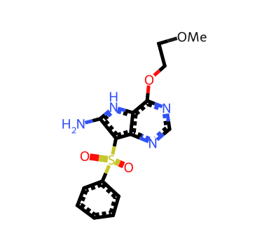 COCCOc1ncnc2c(S(=O)(=O)c3ccccc3)c(N)[nH]c12